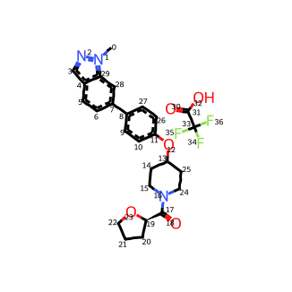 Cn1ncc2ccc(-c3ccc(OC4CCN(C(=O)[C@H]5CCCO5)CC4)cc3)cc21.O=C(O)C(F)(F)F